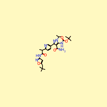 CC(C(=O)Nc1cc(CC(C)(C)C)on1)c1ccc(-c2nn(C(C)C)c(NC(=O)OC(C)(C)C)c2C(N)=O)cn1